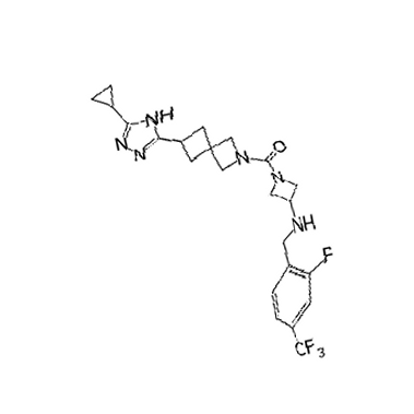 O=C(N1CC(NCc2ccc(C(F)(F)F)cc2F)C1)N1CC2(CC(c3nnc(C4CC4)[nH]3)C2)C1